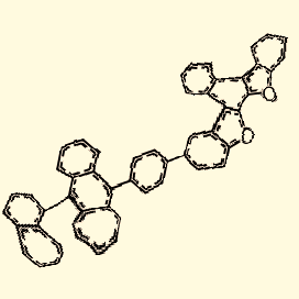 c1ccc2c(-c3c4ccccc4c(-c4ccc(-c5ccc6oc7c8oc9ccccc9c8c8ccccc8c7c6c5)cc4)c4ccccc34)cccc2c1